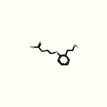 NCCc1ccccc1OCCCC(=O)O